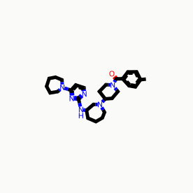 Cc1ccc(C(=O)N2CCC(N3CCCCC(Nc4nccc(N5CCCCCC5)n4)C3)CC2)cc1